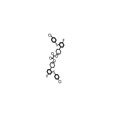 O=C(ON1CCC(c2ccc(F)cc2Sc2ccc(Cl)cc2)CC1)C(=O)ON1CCC(c2ccc(F)cc2Sc2ccc(Cl)cc2)CC1